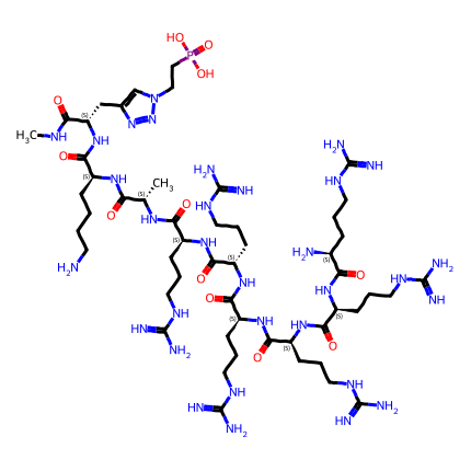 CNC(=O)[C@H](Cc1cn(CCP(=O)(O)O)nn1)NC(=O)[C@H](CCCCN)NC(=O)[C@H](C)NC(=O)[C@H](CCCNC(=N)N)NC(=O)[C@H](CCCNC(=N)N)NC(=O)[C@H](CCCNC(=N)N)NC(=O)[C@H](CCCNC(=N)N)NC(=O)[C@H](CCCNC(=N)N)NC(=O)[C@@H](N)CCCNC(=N)N